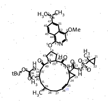 COc1cnc(O[C@@H]2C[C@H]3C(=O)N[C@]4(C(=O)NS(=O)(=O)C5(C)CC5)CC4/C=C\CC[C@@H](C)C[C@@H](C)[C@H](NC(=O)OC(C)(C)C)C(=O)N3C2)c2ccc(N(C)C)cc12